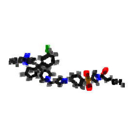 C/C=C/C(=O)N1CC(S(=O)(=O)c2ccc(N3CC(CN4CCC([C@@](C#N)(c5cccc(F)c5)[C@H]5CCC[C@@H]5NC(=O)O)CC4)C3)cc2)C1